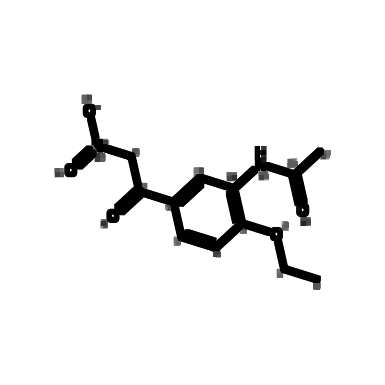 CCOc1ccc(C(=O)C[N+](=O)[O-])cc1NC(C)=O